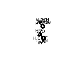 Cc1cnc(NC(=O)[C@H]2CCC[C@@H](NS(C)(=O)=N[Si](C)(C)C(C)(C)C)C2)cc1-c1cc(F)c2ncn(C(C)C)c2c1